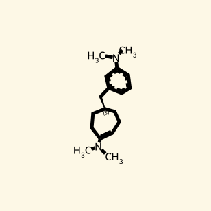 CN(C)C1=CCC[C@H](Cc2cccc(N(C)C)c2)CC1